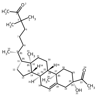 CC(=O)C(C)(C)CCC[C@@H](C)[C@H]1CC[C@H]2[C@@H]3CC=C4C[C@](O)(C(C)=O)CC[C@]4(C)[C@H]3CC[C@]12C